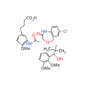 COc1ccc(CCCC(=O)O)cc1NC(=O)C[C@H]1O[C@@H](CC(C)(C)C(O)c2cccc(OC)c2OC)c2cc(Cl)ccc2NC1=O